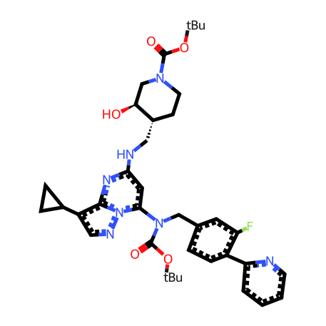 CC(C)(C)OC(=O)N1CC[C@H](CNc2cc(N(Cc3ccc(-c4ccccn4)c(F)c3)C(=O)OC(C)(C)C)n3ncc(C4CC4)c3n2)[C@@H](O)C1